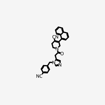 N#CC1=C(c2cccc3ccccc23)CN(C(=O)Cc2cncn2Cc2ccc(C#N)cc2)CC1